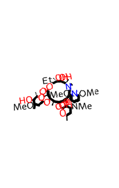 CC[C@H]1OC(=O)[C@H](C)[C@@H](O[C@H]2C[C@@](C)(OC)[C@@H](O)[C@H](C)O2)[C@H](C)[C@@H](O[C@@H]2O[C@H](C)C[C@H](NC)[C@H]2Oc2ccc(OC)nc2OC)[C@](C)(O)C[C@@H](C)CN(C)[C@H](C)[C@@H](O)[C@]1(C)O